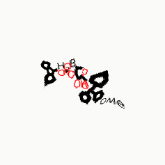 BC1COC(COC(c2ccccc2)(c2ccccc2)c2ccc(OC)cc2)C(O)[C@@H]1OC(=O)OCC1c2ccccc2-c2ccccc21